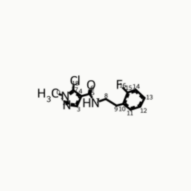 Cn1ncc(C(=O)NCCc2ccccc2F)c1Cl